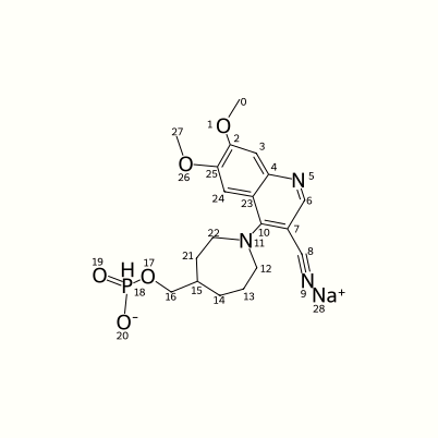 COc1cc2ncc(C#N)c(N3CCCC(CO[PH](=O)[O-])CC3)c2cc1OC.[Na+]